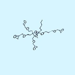 CCCCC[Si](OC)(OCCCOCC1CO1)OC(CCOCC1CO1)(CCOCC1CO1)CCOCC1CO1